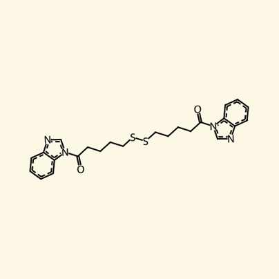 O=C(CCCCSSCCCCC(=O)n1cnc2ccccc21)n1cnc2ccccc21